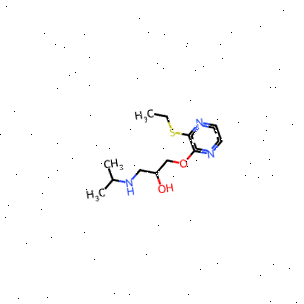 CCSc1nccnc1OCC(O)CNC(C)C